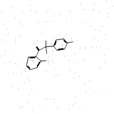 CC(C)(C(=N)c1ccccc1N)c1ccc(Cl)cc1